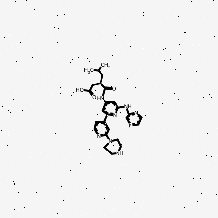 CC(C)CC(CC(=O)O)C(=O)Nc1cc(Nc2cnccn2)nc(-c2ccnc(N3CCNCC3)c2)c1